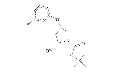 CC(C)(C)OC(=O)N1C[C@@H](Oc2cccc(F)c2)C[C@H]1C=O